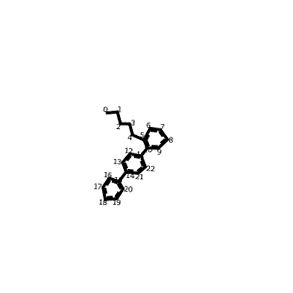 CCCCCc1ccccc1-c1ccc(-c2ccccc2)cc1